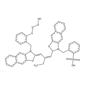 CCC(=CC1Oc2cc3ccccc3cc2N1Cc1ccccc1S(=O)(=O)O)C=C1Oc2cc3ccccc3cc2N1Cc1ccccc1SOOO